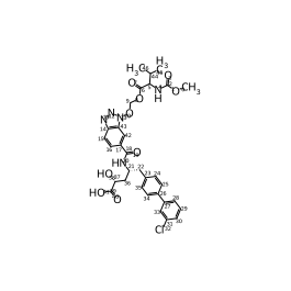 COC(=O)NC(C(=O)OCOn1nnc2ccc(C(=O)N[C@H](Cc3ccc(-c4cccc(Cl)c4)cc3)C[C@@H](O)C(=O)O)cc21)C(C)C